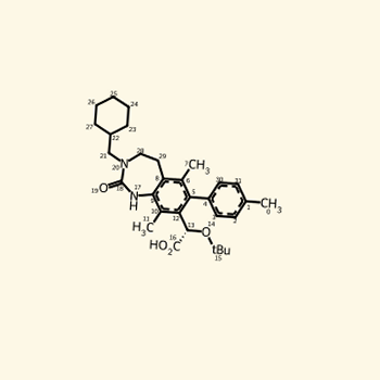 Cc1ccc(-c2c(C)c3c(c(C)c2[C@H](OC(C)(C)C)C(=O)O)NC(=O)N(CC2CCCCC2)CC3)cc1